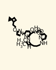 CC1(C)C[C@H]2CCCNc3cccc(n3)S(=O)(=O)NC(=O)c3ccc(-n4ccc(OCCC5CCC56CC6)n4)nc3N1C2